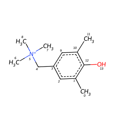 Cc1cc(C[N+](C)(C)C)cc(C)c1O